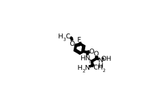 C=C(N)[C@H](NC(=O)c1ccc(OCC)c(F)c1)C(=O)NO